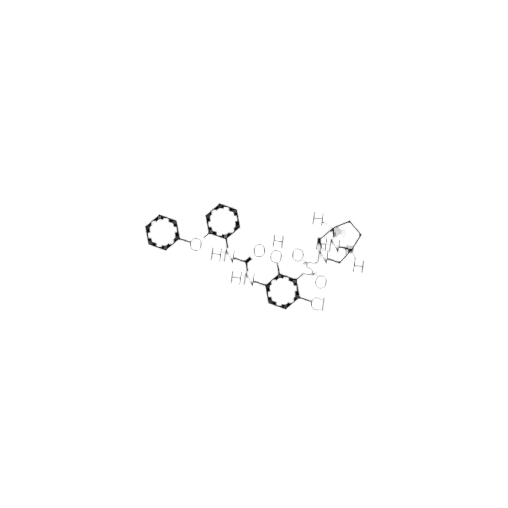 O=C(Nc1ccccc1Oc1ccccc1)Nc1ccc(Cl)c(S(=O)(=O)N2C[C@H]3CC[C@@H](C2)N3)c1O